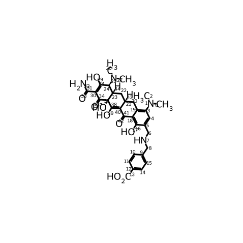 CN(C)c1cc(CNCc2ccc(C(=O)O)cc2)c(O)c2c1C[C@H]1C[C@H]3[C@H](N(C)C)C(O)=C(C(N)=O)C(=O)[C@@]3(O)C(O)=C1C2=O